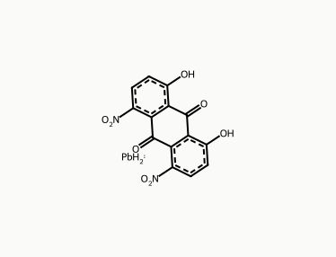 O=C1c2c(O)ccc([N+](=O)[O-])c2C(=O)c2c([N+](=O)[O-])ccc(O)c21.[PbH2]